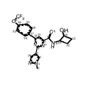 Cn1cc(-c2nc(C(=O)NC3CCC3O)cc(-c3ccc(OC(F)(F)F)cc3)n2)cn1